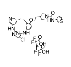 O=C(Nc1ccsc1)N1CCC(CCOc2ccc3cc2CCc2cncc(c2)Nc2ncc(Cl)c(n2)N3)CC1.O=C(O)C(F)(F)F.O=C(O)C(F)(F)F